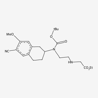 CCOC(=O)CNCCN(C(=O)OC(C)(C)C)C1CCc2cc(C#N)c(OC)cc2C1